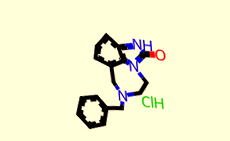 Cl.O=c1[nH]c2cccc3c2n1CCN(Cc1ccccc1)C3